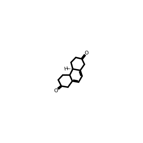 O=C1CCC2C(=CC=C3CC(=O)CC[C@@H]32)C1